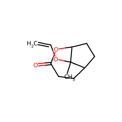 C=COC1(C)C2CCC(=O)OC1CC2